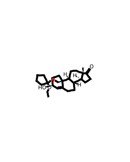 CCOC1(OC[C@]23CC[C@H](O)C=C2CC[C@@H]2[C@@H]3CC[C@]3(C)C(=O)CC[C@@H]23)CCCC1